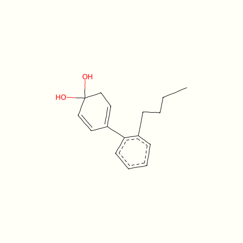 CCCCc1ccccc1C1=CCC(O)(O)C=C1